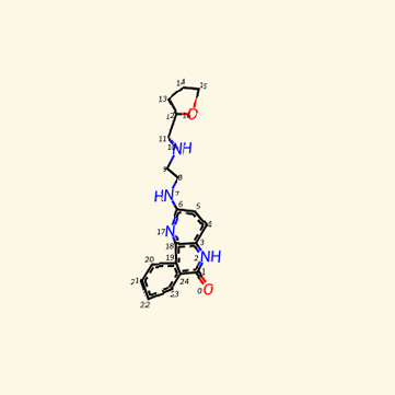 O=c1[nH]c2ccc(NCCNCC3CCCO3)nc2c2ccccc12